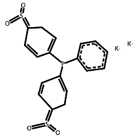 O=S(=O)=C1C=CC(P(C2=CCC(=S(=O)=O)C=C2)c2ccccc2)=CC1.[K].[K]